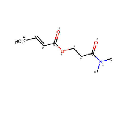 CN(C)C(=O)CCOC(=O)/C=C/C(=O)O